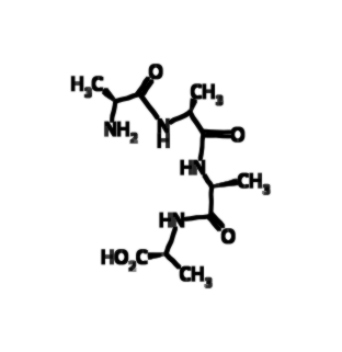 C[C@H](N)C(=O)N[C@@H](C)C(=O)N[C@@H](C)C(=O)N[C@@H](C)C(=O)O